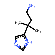 CC(C)(CCN)c1cnc[nH]1